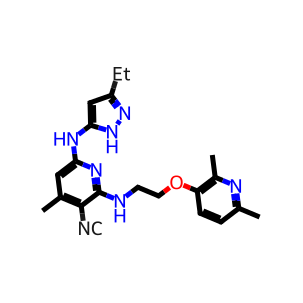 [C-]#[N+]c1c(C)cc(Nc2cc(CC)n[nH]2)nc1NCCOc1ccc(C)nc1C